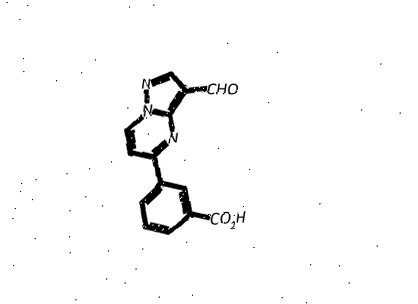 O=Cc1cnn2ccc(-c3cccc(C(=O)O)c3)nc12